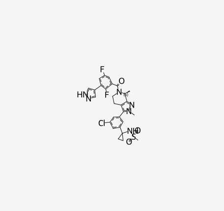 C[C@H]1c2nn(C)c(-c3cc(Cl)cc(C4(NS(C)(=O)=O)CC4)c3)c2CCN1C(=O)c1cc(F)cc(-c2cn[nH]c2)c1F